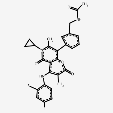 CC(=O)NCc1cccc(-c2c(C)n(C3CC3)c(=O)c3c(Nc4ccc(I)cc4F)c(C)c(=O)oc23)c1